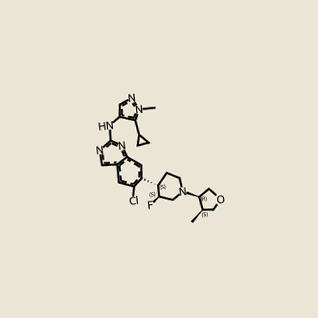 C[C@@H]1COC[C@@H]1N1CC[C@@H](c2cc3nc(Nc4cnn(C)c4C4CC4)ncc3cc2Cl)[C@H](F)C1